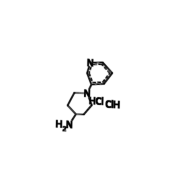 Cl.Cl.NC1CCN(c2cccnc2)CC1